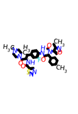 CCc1nocc1N(C=O)[C@H](C(=O)Nc1ccc([C@H](C)[C@@H](NC(=O)c2cnns2)C(=O)N2CCN(C)CC2)cc1F)C1CCC(C)CC1